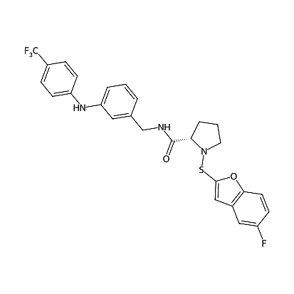 O=C(NCc1cccc(Nc2ccc(C(F)(F)F)cc2)c1)[C@@H]1CCCN1Sc1cc2cc(F)ccc2o1